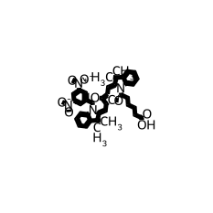 CC1(C)C(=CC2=C(O)C(C=C3N(Cc4cc([N+](=O)[O-])cc([N+](=O)[O-])c4)c4ccccc4C3(C)C)[C+]2[O-])N(CCCCCC(=O)O)c2ccccc21